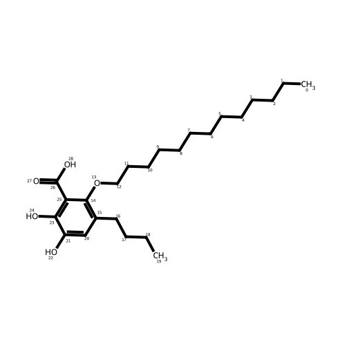 CCCCCCCCCCCCCOc1c(CCCC)cc(O)c(O)c1C(=O)O